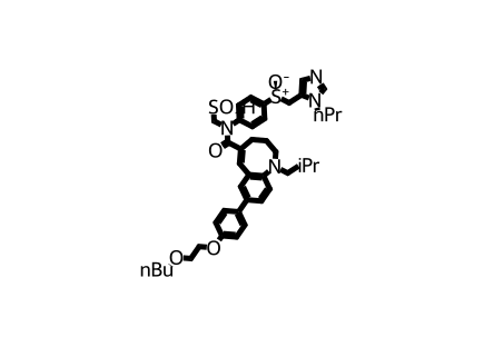 CCCCOCCOc1ccc(-c2ccc3c(c2)/C=C(/C(=O)N(CS(=O)(=O)O)c2ccc([S@@+]([O-])Cc4cncn4CCC)cc2)CCCN3CC(C)C)cc1